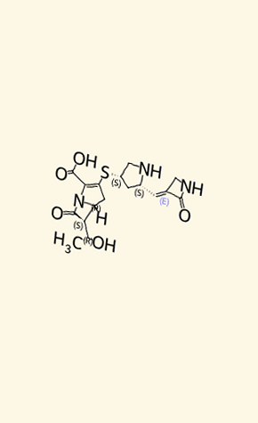 C[C@@H](O)[C@H]1C(=O)N2C(C(=O)O)=C(S[C@@H]3CN[C@H](/C=C4\CNC4=O)C3)C[C@H]12